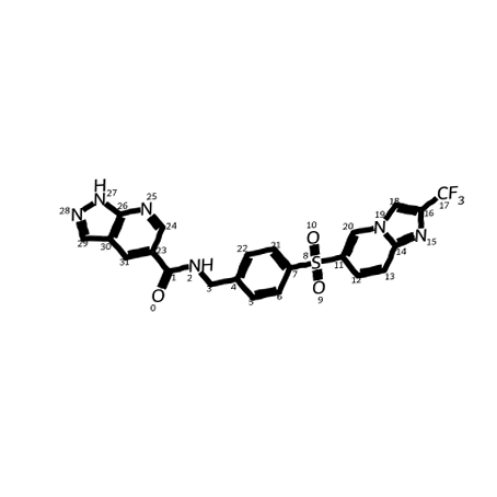 O=C(NCc1ccc(S(=O)(=O)c2ccc3nc(C(F)(F)F)cn3c2)cc1)c1cnc2[nH]ncc2c1